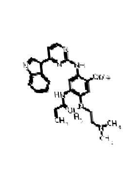 C=CC(=O)Nc1cc(Nc2nccc(C3C=Nc4ccccc43)n2)c(OC)cc1N(C)CCN(C)C